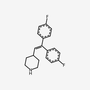 Fc1ccc(C(=CC2CCNCC2)c2ccc(F)cc2)cc1